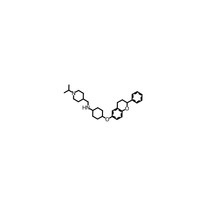 CC(C)N1CCC(CNC2CCC(Oc3ccc4c(c3)CCC(c3ccccc3)O4)CC2)CC1